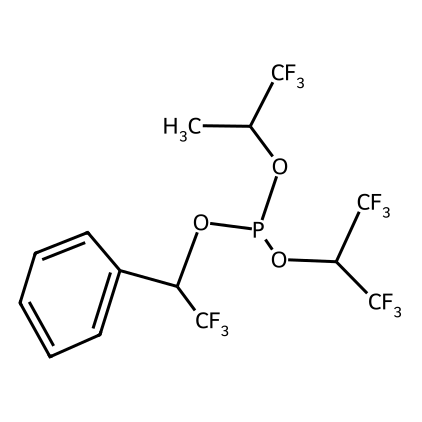 CC(OP(OC(c1ccccc1)C(F)(F)F)OC(C(F)(F)F)C(F)(F)F)C(F)(F)F